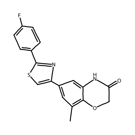 Cc1cc(-c2csc(-c3ccc(F)cc3)n2)cc2c1OCC(=O)N2